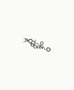 CCN(CC)c1ccc2c(C)c(CCC(=O)NCCc3ccccc3)c(=O)oc2c1